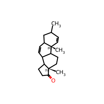 CC1C=C[C@@]2(C)C(C=CC3C2CC[C@]2(C)C(=O)CCC32)C1